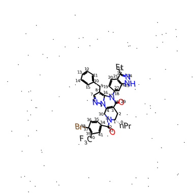 CCC[C@H]1Cc2c(n3ncc(Cc4ccccc4)c3n(-c3ccc4c(CC)n[nH]c4c3)c2=O)CN1C(=O)c1ccc(Br)c(C(F)(F)F)c1